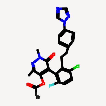 Cc1nn(C)c(=O)c(-c2c(F)ccc(Cl)c2CCc2ccc(-n3cncn3)cc2)c1OC(=O)C(C)C